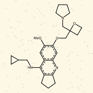 COc1cc2c(NCC3CC3)c3c(nc2cc1OCC1(CN2CCCC2)CCO1)CCC3